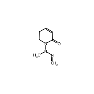 C=NN(C)N1CCC=CC1=O